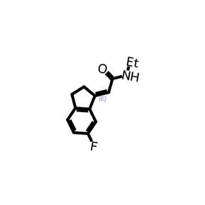 CCNC(=O)/C=C1\CCc2ccc(F)cc21